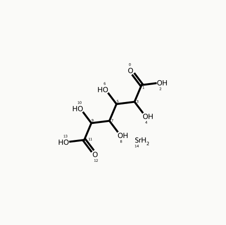 O=C(O)C(O)C(O)C(O)C(O)C(=O)O.[SrH2]